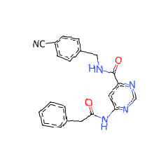 N#Cc1ccc(CNC(=O)c2cc(NC(=O)Cc3ccccc3)ncn2)cc1